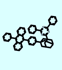 c1ccc(-c2nc(-c3ccccc3)nc(C34CC5CC(CC(c6ccc(-c7c8ccccc8c(-c8ccccc8)c8ccccc78)cc6)(C5)C3)C4)n2)cc1